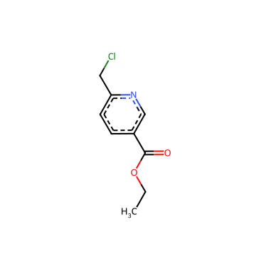 CCOC(=O)c1ccc(CCl)nc1